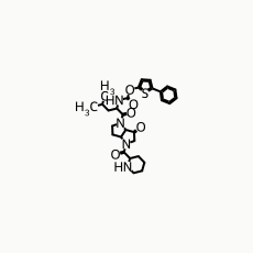 CC(C)CC(NC(=O)Oc1ccc(-c2ccccc2)s1)C(=O)N1CCC2C1C(=O)CN2C(=O)C1CCCCN1